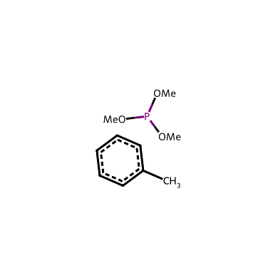 COP(OC)OC.Cc1ccccc1